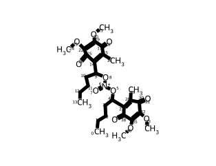 CCCCC(O[N+](=O)OC(CCCC)C1=C(C)C(=O)C(OC)=C(OC)C1=O)C1=C(C)C(=O)C(OC)=C(OC)C1=O